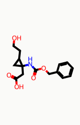 O=C(O)CC1(NC(=O)OCc2ccccc2)CC1CCO